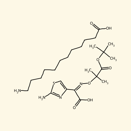 CC(C)(C)OC(=O)C(C)(C)ON=C(C(=O)O)c1csc(N)n1.NCCCCCCCCCCCC(=O)O